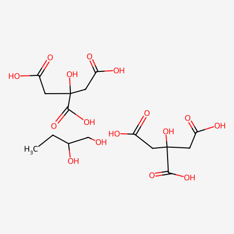 CCC(O)CO.O=C(O)CC(O)(CC(=O)O)C(=O)O.O=C(O)CC(O)(CC(=O)O)C(=O)O